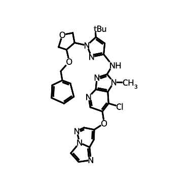 Cn1c(Nc2cc(C(C)(C)C)n(C3COCC3OCc3ccccc3)n2)nc2ncc(Oc3cnn4ccnc4c3)c(Cl)c21